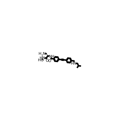 CC(C)CNCc1ccc(C#Cc2ccc(C(=O)N[C@@H](CN)C(=O)NO)cc2)cc1